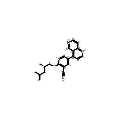 CC(C)C[C@@H](C)COc1ncc(-c2ccnc3ccncc23)cc1C#N